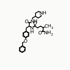 CC(C[CH]C(=O)NC(Cc1ccc(OCc2ccccc2)cc1)C(=O)NCC1CCNCC1)C(N)=O